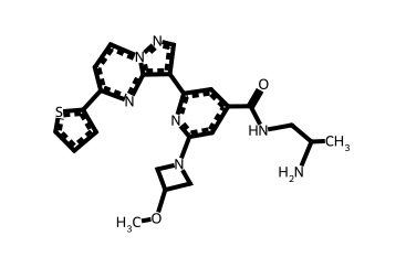 COC1CN(c2cc(C(=O)NCC(C)N)cc(-c3cnn4ccc(-c5cccs5)nc34)n2)C1